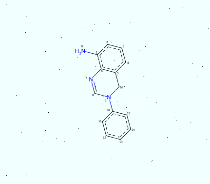 Nc1cccc2c1N=CN(c1ccccc1)C2